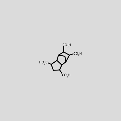 O=C(O)C1CC(C(=O)O)C2C3CC(C(C(=O)O)C3C(=O)O)C12